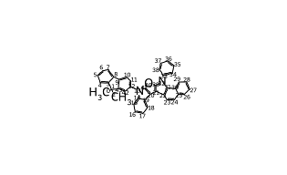 CC1(C)c2ccccc2-c2ccc(-n3c4ccccc4c4c5c6ccc7ccccc7c6n(-c6ccccc6)c5oc43)cc21